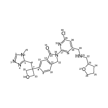 Cn1cnnc1CC1(c2ccc3c(c2)C(=O)N(c2cc(CNCC4CCCO4)cc(Cl)n2)C3)COC1